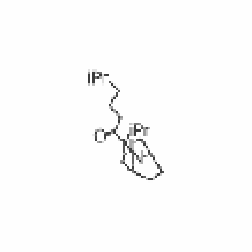 CC(C)CCCC(=O)N1CC2CCC(C1)N2CC(C)C